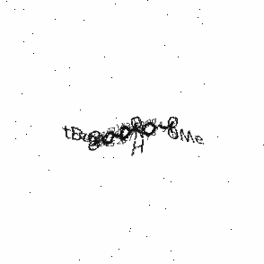 COC(=O)CC[C@H]1CC[C@H](NC(=O)c2ccc(C3CCN(C(=O)OC(C)(C)C)CC3)cc2)CC1